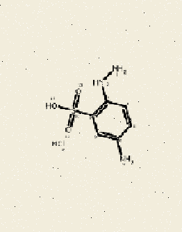 Cl.NNc1ccc(N)cc1S(=O)(=O)O